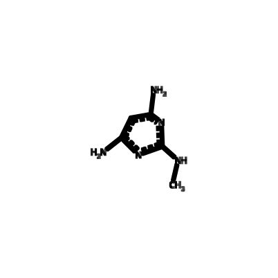 CNc1nc(N)cc(N)n1